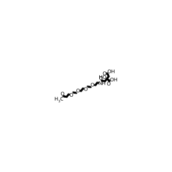 CC(=O)CCOCCOCCOCCOCCNC(=O)CC(O)(CC(=O)O)C(=O)O